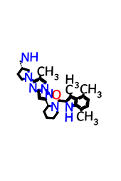 Cc1cn2nc([C@@H]3CCCCN3C(=O)c3[nH]c4c(C)ccc(C)c4c3C)cc2nc1N1CC[C@H](C=N)C1